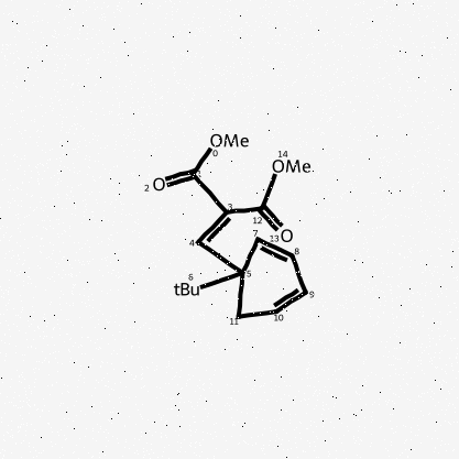 COC(=O)C(=CC1(C(C)(C)C)C=CC=CC1)C(=O)OC